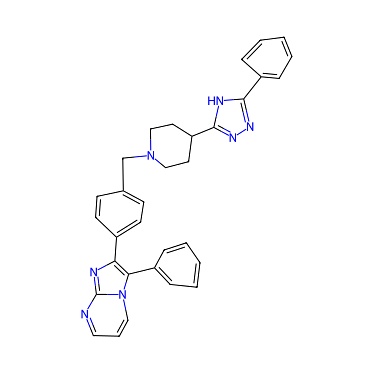 c1ccc(-c2nnc(C3CCN(Cc4ccc(-c5nc6ncccn6c5-c5ccccc5)cc4)CC3)[nH]2)cc1